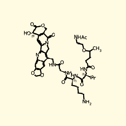 CC(=O)NCCOC(C)CCC(=O)N[C@H](C(=O)N[C@@H](CCCCN)C(=O)NCC(=O)NCc1c2c(nc3cc4c(cc13)OCO4)-c1cc3c(c(=O)n1C2)COC(=O)[C@H]3O)C(C)C